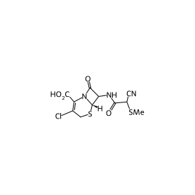 CSC(C#N)C(=O)NC1C(=O)N2C(C(=O)O)=C(Cl)CS[C@@H]12